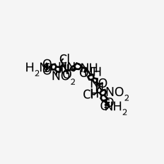 NS(=O)(=O)c1ccc2c3c(cc([N+](=O)[O-])c2c1)N(C(=O)c1cc2cc(NC(=O)Nc4ccc5[nH]c(C(=O)N6CC(CCl)c7c6cc([N+](=O)[O-])c6cc(S(N)(=O)=O)ccc76)cc5c4)ccc2[nH]1)CC3CCl